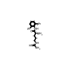 CC(C)c1cccc(C(C)C)c1NC(=O)[C@@H](N)CCCNC(=N)N